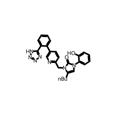 CCCCc1cn(-c2ccccc2O)c(=O)n1Cc1ccc(-c2ccccc2-c2nnn[nH]2)cn1